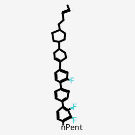 C/C=C/CCC1CCC(C2CC=C(c3ccc(-c4ccc(-c5ccc(CCCCC)c(F)c5F)cc4)c(F)c3)CC2)CC1